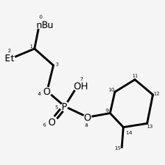 CCCCC(CC)COP(=O)(O)OC1CCCCC1C